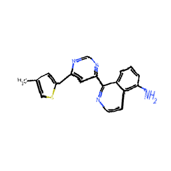 Cc1csc(-c2cc(-c3nccc4c(N)cccc34)ncn2)c1